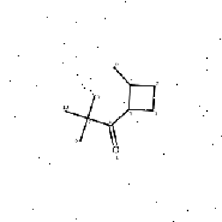 CC1CCC1C(=O)C(C)(C)C